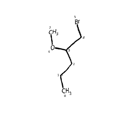 C[CH]CC(CBr)OC